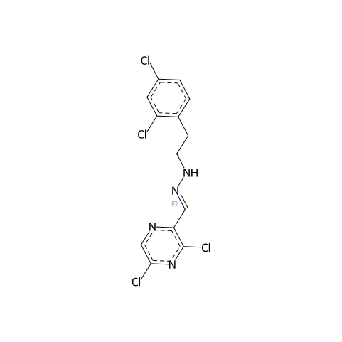 Clc1ccc(CCN/N=C/c2ncc(Cl)nc2Cl)c(Cl)c1